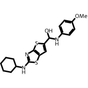 COc1ccc(NC(O)c2cc3sc(NC4CCCCC4)nc3s2)cc1